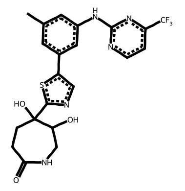 Cc1cc(Nc2nccc(C(F)(F)F)n2)cc(-c2cnc(C3(O)CCC(=O)NCC3O)s2)c1